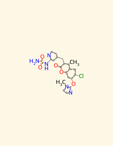 Cc1c(Cc2ccnc(NS(N)(=O)=O)c2)c(=O)oc2cc(Oc3nccn3C)c(Cl)cc12